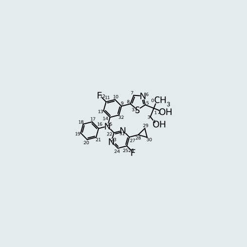 CC(O)(CO)c1ncc(-c2cc(F)cc(N(c3ccccc3)c3ncc(F)c(C4CC4)n3)c2)s1